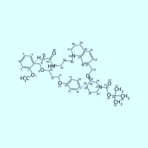 COc1ccccc1COCCCOc1ccc([C@H]2CCN(C(=O)OC(C)(C)C)C[C@@H]2OCc2ccc3c(c2)N(CCCNC(C)=O)CCC3)cc1